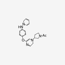 CC(=O)N1CCC(N2C=C(Oc3ccc(NN4C=CC=CC4)cc3)N=CC2)C1